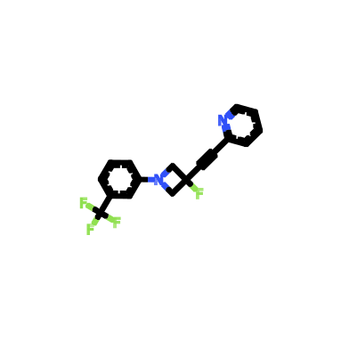 FC1(C#Cc2ccccn2)CN(c2cccc(C(F)(F)F)c2)C1